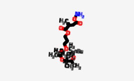 C=C(CC(=O)ON)C(=O)OCCCO[Si](C)(C)C(C)O[Si](C)(C)C(C)O[Si](C)(C)CCCC